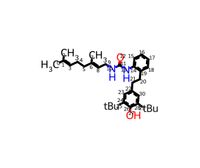 CC(C)=CCC/C(C)=C/CNC(=O)Nc1ccccc1CCc1cc(C(C)(C)C)c(O)c(C(C)(C)C)c1